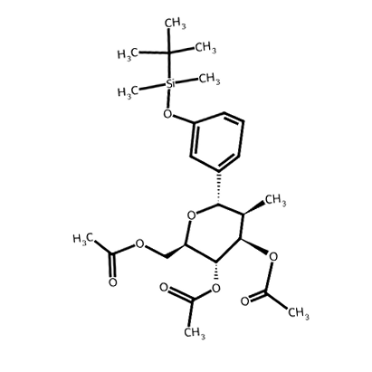 CC(=O)OC[C@H]1O[C@H](c2cccc(O[Si](C)(C)C(C)(C)C)c2)[C@@H](C)[C@@H](OC(C)=O)[C@@H]1OC(C)=O